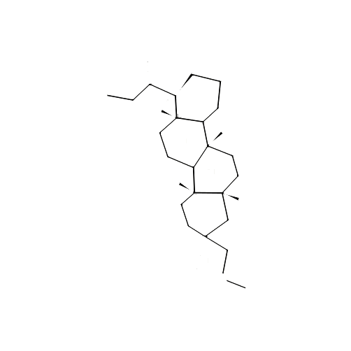 COC[C@@]1(O)CC[C@H]2[C@H](CC[C@@H]3[C@@H]2CC[C@]2(C)[C@@H]([C@@H](C)CBr)CCC[C@@H]32)C1